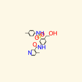 Cc1ccc(NS(=O)(=O)c2cc(NC(=O)c3cnccc3C)ccc2CCO)cc1